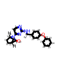 C[C@H](Nc1nccc(N2C(=O)[C@@H]3CC[C@H]2C3)n1)c1ccc(Oc2ccccc2)cc1